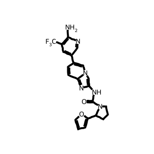 Nc1ncc(-c2ccc3nc(NC(=O)N4CCCC4c4ccco4)cn3c2)cc1C(F)(F)F